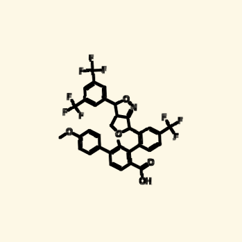 COc1ccc(-c2ccc(C(=O)O)c(-c3ccc(C(F)(F)F)cc3C3OCC4C3=NOC4c3cc(C(F)(F)F)cc(C(F)(F)F)c3)c2C)cc1